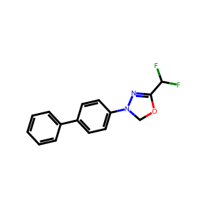 FC(F)C1=NN(c2ccc(-c3ccccc3)cc2)CO1